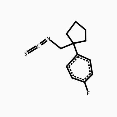 Fc1ccc(C2(CN=C=S)CCCC2)cc1